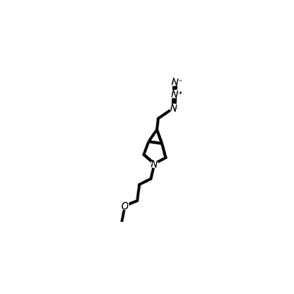 COCCCN1CC2C(CN=[N+]=[N-])C2C1